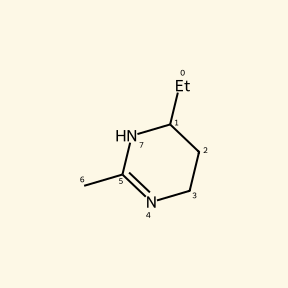 CCC1CCN=C(C)N1